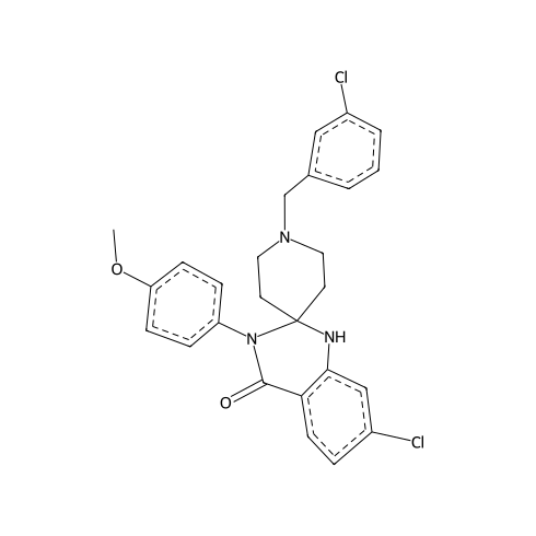 COc1ccc(N2C(=O)c3ccc(Cl)cc3NC23CCN(Cc2cccc(Cl)c2)CC3)cc1